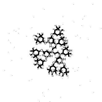 CN1C(C)(C)CC(OC2=NN(OC3CC(C)(C)N(C)C(C)(C)C3)NC(N(CCN(C3=CC(OC4CC(C)(C)N(C)C(C)(C)C4)=NN(OC4CC(C)(C)N(C)C(C)(C)C4)N3)C3CC(C)(C)NC(C)(C)C3)CCN(C3=CC(OC4CC(C)(C)N(C)C(C)(C)C4)=NN(OC4CC(C)(C)N(C)C(C)(C)C4)N3)C3CC(C)(C)NC(C)(C)C3)=C2)CC1(C)C